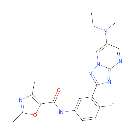 CCN(C)c1cnc2nc(-c3cc(NC(=O)c4oc(C)nc4C)ccc3F)nn2c1